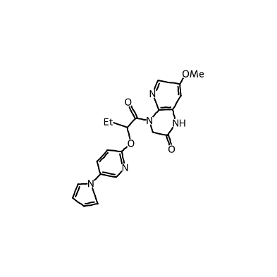 CCC(Oc1ccc(-n2cccc2)cn1)C(=O)N1CC(=O)Nc2cc(OC)cnc21